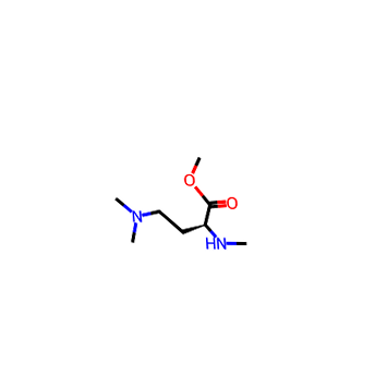 CN[C@@H](CCN(C)C)C(=O)OC